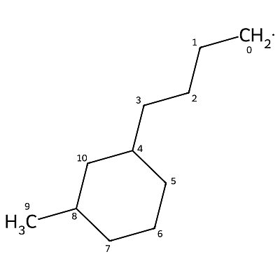 [CH2]CCCC1CCCC(C)C1